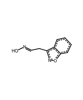 O/N=C/Cc1noc2ccccc12